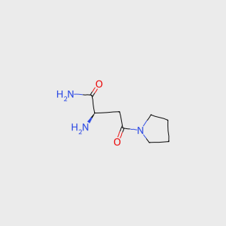 NC(=O)[C@H](N)CC(=O)N1CCCC1